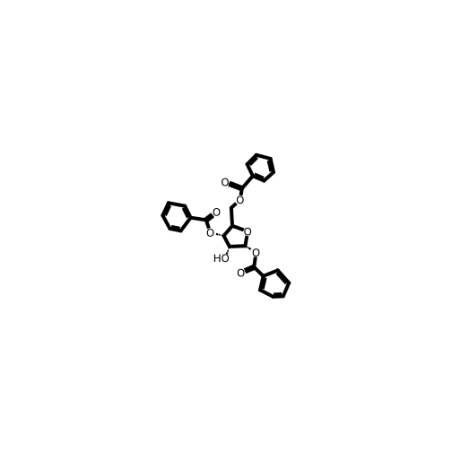 O=C(OCC1O[C@H](OC(=O)c2ccccc2)[C@H](O)[C@@H]1OC(=O)c1ccccc1)c1ccccc1